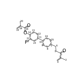 C=C(C)C(=O)CCc1ccc(-c2ccc(OC(=O)C(=C)C)c(F)c2)cc1